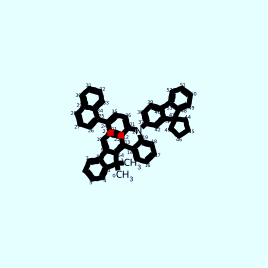 CC1(C)c2ccccc2-c2cccc(-c3ccccc3N(c3ccc(-c4cccc5ccccc45)cc3)c3ccc4c(c3)C3(CCCC3)c3ccccc3-4)c21